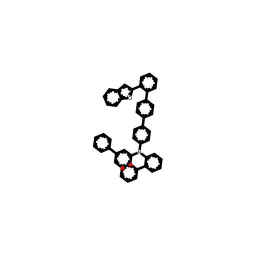 c1ccc(-c2cccc(N(c3ccc(-c4ccc(-c5ccccc5-c5cc6ccccc6o5)cc4)cc3)c3ccccc3-c3ccccc3)c2)cc1